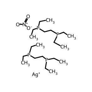 CCP(CC)CCP(CC)CC.CCP(CC)CCP(CC)CC.O=[N+]([O-])[O-].[Ag+]